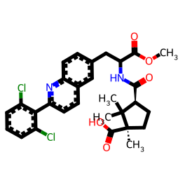 COC(=O)C(Cc1ccc2nc(-c3c(Cl)cccc3Cl)ccc2c1)NC(=O)[C@H]1CC[C@@](C)(C(=O)O)C1(C)C